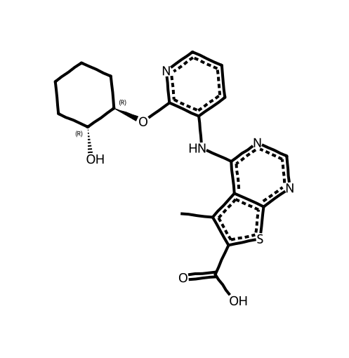 Cc1c(C(=O)O)sc2ncnc(Nc3cccnc3O[C@@H]3CCCC[C@H]3O)c12